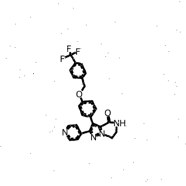 O=C1NCCn2nc(-c3ccncc3)c(-c3ccc(OCc4ccc(C(F)(F)F)cc4)cc3)c21